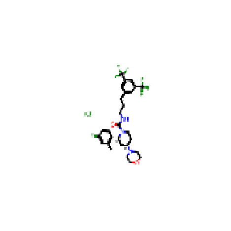 Cc1cc(F)ccc1[C@H]1C[C@H](N2CCOCC2)CCN1C(=O)NCCCc1cc(C(F)(F)F)cc(C(F)(F)F)c1.Cl